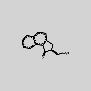 O=C(O)/C=C1\Cc2ccc3ccccc3c2C1=O